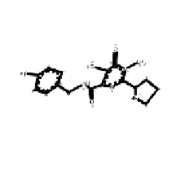 Cn1c(C2CCCN2)nc(C(=O)NCc2ccc(F)cc2)c(O)c1=O